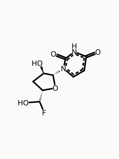 O=c1ccn([C@@H]2O[C@H](C(O)F)C[C@H]2O)c(=O)[nH]1